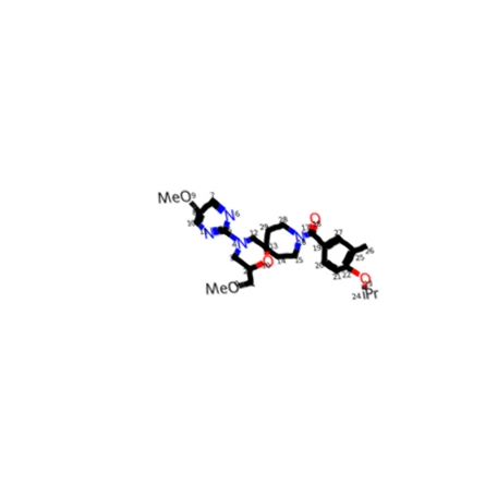 COCC1CN(c2ncc(OC)cn2)CC2(CCN(C(=O)c3ccc(OC(C)C)c(C)c3)CC2)O1